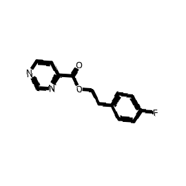 O=C(OCCc1ccc(F)cc1)c1ccncn1